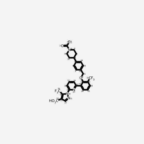 CCC(=O)N1CCC(c2ccc(COc3c(-c4cccc(-n5ncc(C(=O)O)c5C(F)(F)F)n4)cccc3C(F)(F)F)cc2)CC1